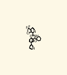 O=C(NC(c1cccc(-c2cccnc2)c1)C1(O)CCCCC1)c1nccc(C(F)(F)F)c1Cl